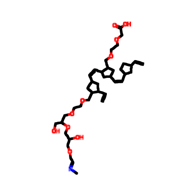 C=CC1CCC(/C=C\C2CC(/C=C\C3CC(C=C)C(COCCOCC(CO)OCC(O)COC/C=N/C)C3)C(COCCOCC(=O)O)C2)C1